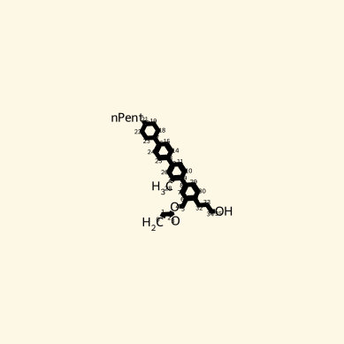 C=CC(=O)OCc1cc(-c2ccc(-c3ccc(C4CCC(CCCCC)CC4)cc3)cc2C)ccc1CCCO